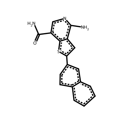 NC(=O)c1cnc(N)c2cc(-c3ccc4ccccc4c3)sc12